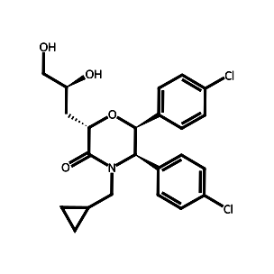 O=C1[C@H](C[C@H](O)CO)O[C@@H](c2ccc(Cl)cc2)[C@@H](c2ccc(Cl)cc2)N1CC1CC1